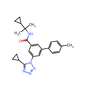 Cc1ccc(-c2cc(C(=O)NC(C)(C)C3CC3)cc(-n3nnnc3C3CC3)c2)cc1